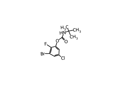 CC(C)(C)NC(=O)Oc1cc(Cl)cc(Br)c1F